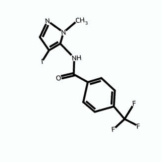 Cn1ncc(I)c1NC(=O)c1ccc(C(F)(F)F)cc1